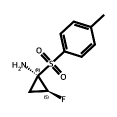 Cc1ccc(S(=O)(=O)[C@]2(N)C[C@@H]2F)cc1